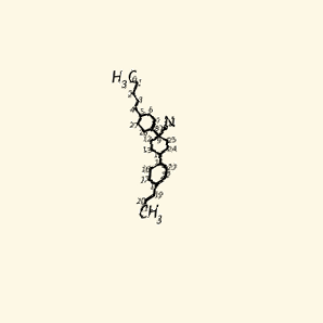 CCCCCC1CC=C(C2(C#N)CCC(C3CCC(CCC)CC3)CC2)CC1